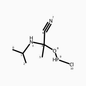 CC(C)NC(C)(C#N)OPCl